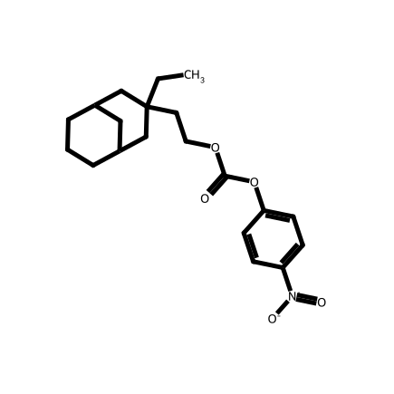 CCC1(CCOC(=O)Oc2ccc([N+](=O)[O-])cc2)CC2CCCC(C2)C1